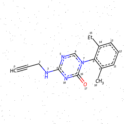 C#CCNc1ncn(-c2c(C)cccc2CC)c(=O)n1